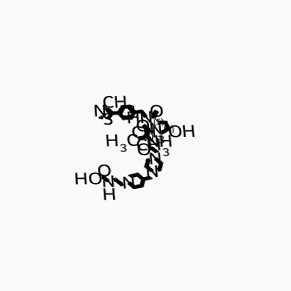 Cc1ncsc1-c1ccc(CNC(=O)[C@@H]2C[C@@H](O)CN2C(=O)[C@@H](NC(=O)CN2CCN(CC3CCN(CCNC(=O)O)CC3)CC2)C(C)(C)C)cc1